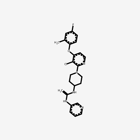 C=C(Nc1cccnc1)NC1CCN(c2nccc(Oc3ccc(F)cc3C)c2Cl)CC1